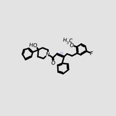 COc1ccc(F)cc1CC/C(=C/C(=O)N1CCC(O)(c2ccccc2)CC1)c1ccccc1